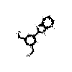 CC(C)Cc1cc(CC(C)C)cc(-c2nc3ncccc3o2)c1